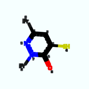 CC(C)c1cc(S)c(=O)n(C(C)C)n1